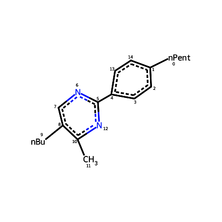 CCCCCc1ccc(-c2ncc(CCCC)c(C)n2)cc1